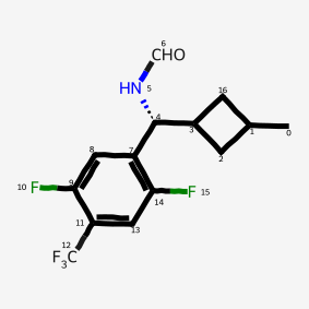 CC1CC([C@@H](NC=O)c2cc(F)c(C(F)(F)F)cc2F)C1